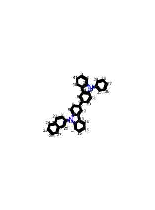 C1=Cc2c(c3cc(-c4ccc5c(c4)c4ccccc4n5-c4ccc5ccccc5c4)ccc3n2-c2ccccc2)CC1